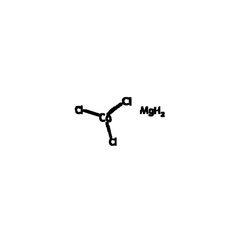 [Cl][Co]([Cl])[Cl].[MgH2]